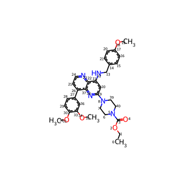 CCOC(=O)N1CCN(c2cc(NCc3ccc(OC)cc3)c3nccc(-c4ccc(OC)c(OC)c4)c3n2)CC1